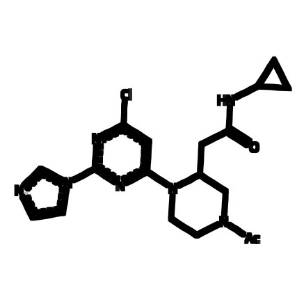 CC(=O)N1CCN(c2cc(Cl)nc(-n3ccnc3)n2)C(CC(=O)NC2CC2)C1